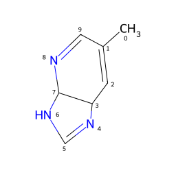 CC1=CC2N=CNC2N=C1